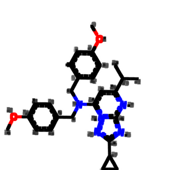 COc1ccc(CN(Cc2ccc(OC)cc2)c2cc(C(C)C)nc3nc(C4CC4)nn23)cc1